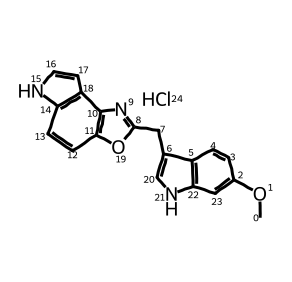 COc1ccc2c(Cc3nc4c(ccc5[nH]ccc54)o3)c[nH]c2c1.Cl